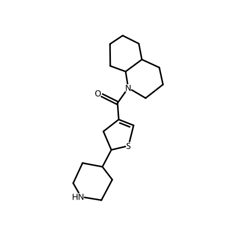 O=C(C1=CSC(C2CCNCC2)C1)N1CCCC2CCCCC21